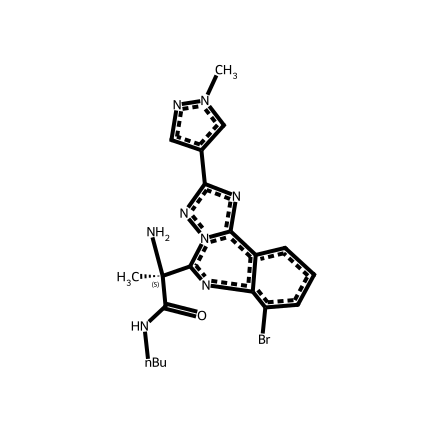 CCCCNC(=O)[C@@](C)(N)c1nc2c(Br)cccc2c2nc(-c3cnn(C)c3)nn12